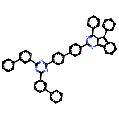 c1ccc(C2=NC(c3ccc(-c4ccc(-c5nc(-c6cccc(-c7ccccc7)c6)nc(-c6cccc(-c7ccccc7)c6)n5)cc4)cc3)=NC3=c4ccccc4=C(c4ccccc4)C23)cc1